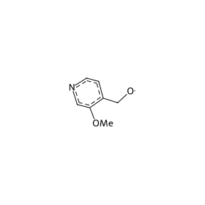 COc1cnccc1C[O]